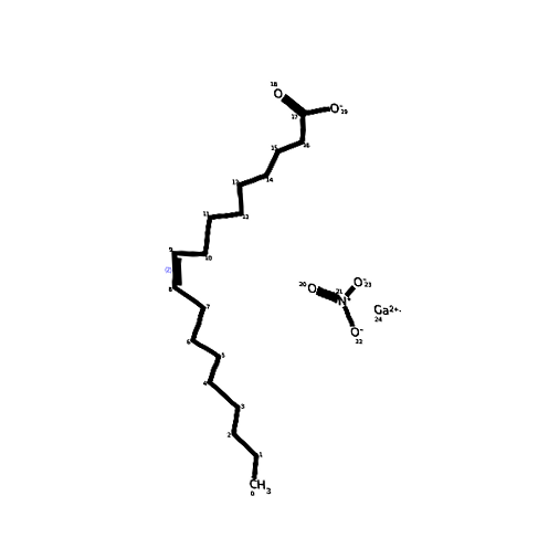 CCCCCCCC/C=C\CCCCCCCC(=O)[O-].O=[N+]([O-])[O-].[Ga+2]